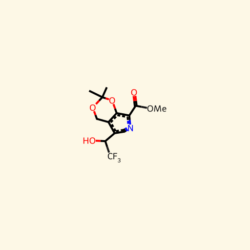 COC(=O)c1ncc(C(O)C(F)(F)F)c2c1OC(C)(C)OC2